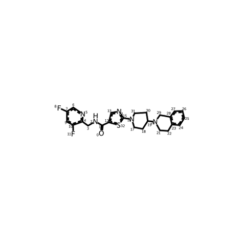 O=C(NCc1ncc(F)cc1F)c1cnc(N2CCC(N3CCc4ccccc4C3)CC2)s1